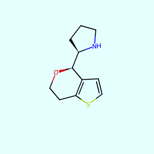 c1cc2c(s1)CCO[C@H]2[C@H]1CCCN1